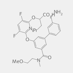 COCCN(C)C(=O)c1cc(Oc2nc(OC(CC(C)C)C(=O)O)c(F)cc2F)cc(-c2cccc(CN)c2)c1